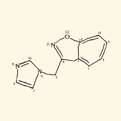 c1ccc2c(Cn3ccnc3)noc2c1